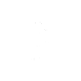 O=C(OCC(Cl)(Cl)Cl)[C@@H]1CCCNN1